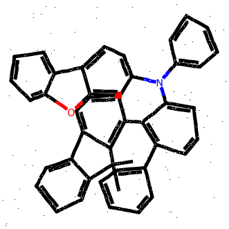 CC1(C)c2ccccc2-c2cccc(-c3c(-c4ccccc4)cccc3N(c3ccccc3)c3ccc4c(c3)oc3ccccc34)c21